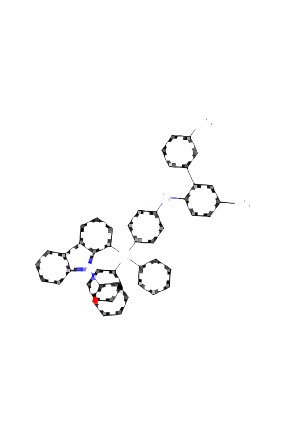 N#Cc1cccc(-c2cc(C#N)ccc2Nc2ccc([Si](c3ccccc3)(c3ccccc3)c3cccc4c5ccccc5n(-c5ccccc5)c34)cc2)c1